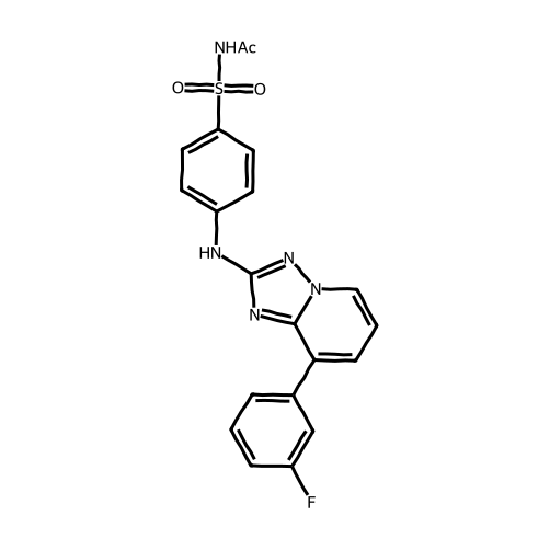 CC(=O)NS(=O)(=O)c1ccc(Nc2nc3c(-c4cccc(F)c4)cccn3n2)cc1